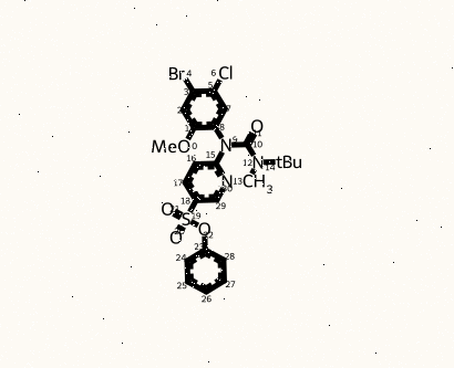 COc1cc(Br)c(Cl)cc1N(C(=O)N(C)C(C)(C)C)c1ccc(S(=O)(=O)Oc2ccccc2)cn1